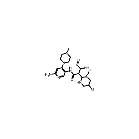 CN1CCN(c2cc(N)ncc2NC(=O)C(C(N)N=O)C2NCC(Cl)CN2C)CC1